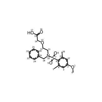 COc1cc(C)c(S(=O)(=O)N(CCOCC(=O)O)Cc2ccccc2)c(C)c1